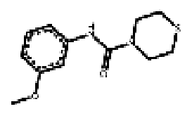 COc1cccc(NC(=O)N2CCSCC2)c1